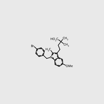 COc1ccc2c(c1)c(CCC(C)(C)C(=O)O)c(C)n2Cc1ccc(Br)cc1